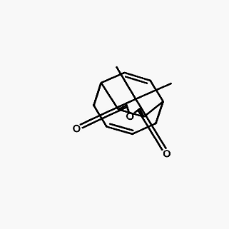 O=C1OC(=O)C2C3C=CC(CC=CC3)C12